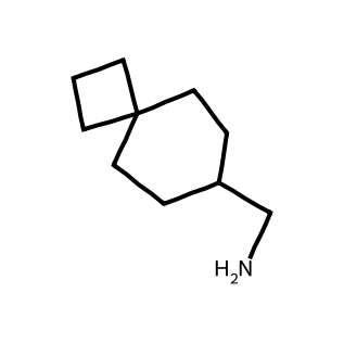 NCC1CCC2(CCC2)CC1